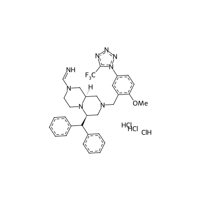 COc1ccc(-n2nnnc2C(F)(F)F)cc1CN1C[C@@H]2CN(C=N)CCN2[C@H](C(c2ccccc2)c2ccccc2)C1.Cl.Cl.Cl